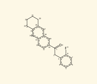 O=C(Cc1ccccc1F)c1ccc2nc3c(cc2c1)CCCS3